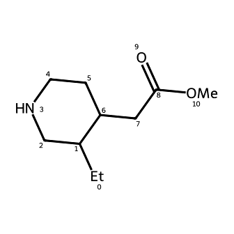 CCC1CNCCC1CC(=O)OC